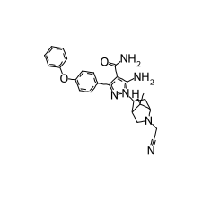 C[C@H]1C2CN(CC#N)C1CC2n1nc(-c2ccc(Oc3ccccc3)cc2)c(C(N)=O)c1N